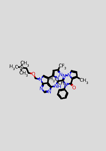 Cc1ccn2nc(C(C)Nc3ncnc4c3c(-c3cc(C(F)(F)F)nn3C)cn4COCC[Si](C)(C)C)n(-c3ccccc3)c(=O)c12